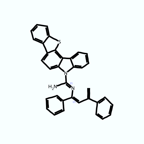 C=C(/C=C(\N=C(/N)n1c2ccccc2c2c3sc4ccccc4c3ccc21)c1ccccc1)c1ccccc1